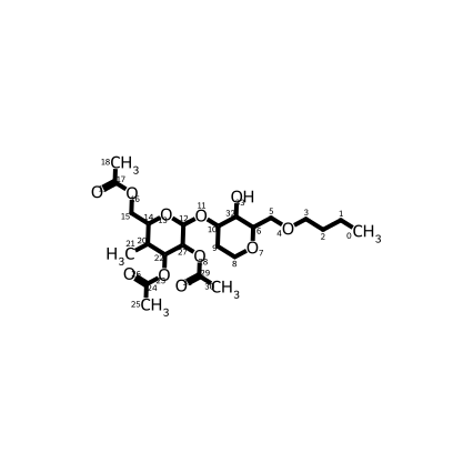 CCCCOCC1OCCC(OC2OC(COC(C)=O)C(C)C(OC(C)=O)C2OC(C)=O)C1O